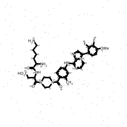 COc1ccc(-c2cnc3c(Nc4ccc(C(=O)N5CCN(C(=O)C(CC(=O)O)NC(=O)C(N)CCCCN)CC5)c(C)c4)nccn23)c(F)c1F